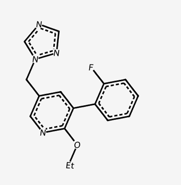 CCOc1ncc(Cn2cncn2)cc1-c1ccccc1F